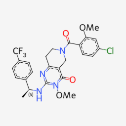 COc1cc(Cl)ccc1C(=O)N1CCc2nc(N[C@@H](C)c3ccc(C(F)(F)F)cc3)n(OC)c(=O)c2C1